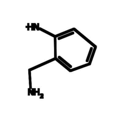 [NH]c1ccccc1CN